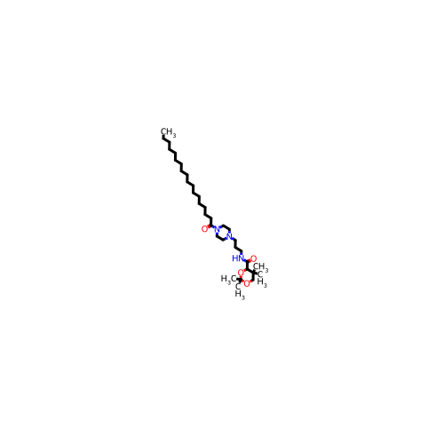 CCCCCCCCCCCCCCCCCC(=O)N1CCN(CCCNC(=O)C2OC(C)(C)OCC2(C)C)CC1